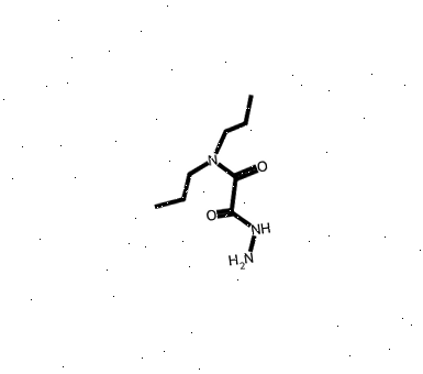 CCCN(CCC)C(=O)C(=O)NN